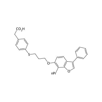 CCCc1c(OCCCSc2ccc(CC(=O)O)cc2)ccc2c(-c3ccccc3)coc12